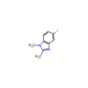 Cc1nc2cc(F)ccc2n1C